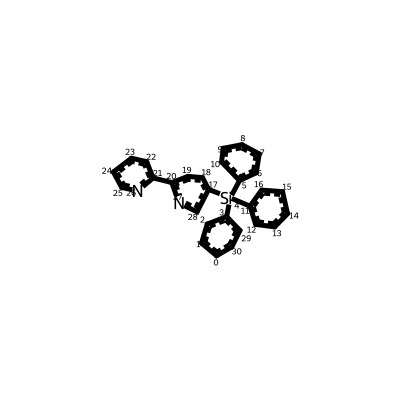 c1ccc([Si](c2ccccc2)(c2ccccc2)c2ccc(-c3ccccn3)nc2)cc1